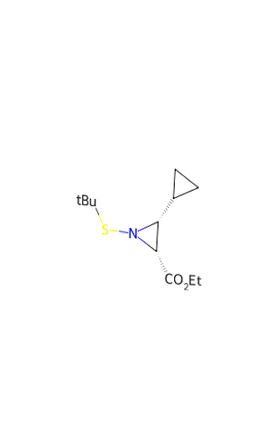 CCOC(=O)[C@H]1[C@@H](C2CC2)N1SC(C)(C)C